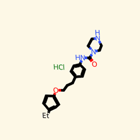 CCc1ccc(OCCCc2ccc(NC(=O)N3CCNCC3)cc2)cc1.Cl